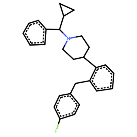 Fc1ccc(Cc2ccccc2C2CCN(C(c3ccccc3)C3CC3)CC2)cc1